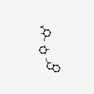 Cc1c(OCc2ccc3ccccc3n2)cccc1OCc1cccc(C(=O)O)c1C